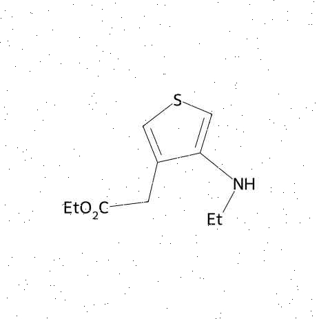 CCNc1cscc1CC(=O)OCC